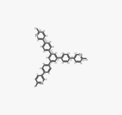 Cc1ccc(-c2ccc(-c3cc(-c4ccc(-c5ccc(C)nc5)cc4)cc(-c4ccc(-c5ccc(C)nc5)cc4)c3)cc2)cn1